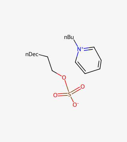 CCCCCCCCCCCCOS(=O)(=O)[O-].CCCC[n+]1ccccc1